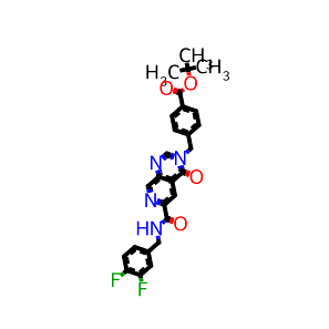 CC(C)(C)OC(=O)c1ccc(Cn2cnc3cnc(C(=O)NCc4ccc(F)c(F)c4)cc3c2=O)cc1